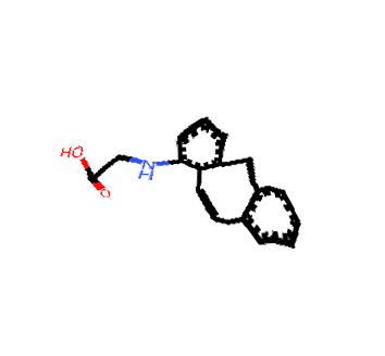 O=C(O)CNc1cccc2c1C=Cc1ccccc1C2